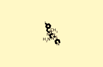 Cn1c(Cc2cccc(I)c2)nc2c(N)nc(Sc3ccncc3)nc21